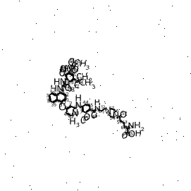 COc1cc(Nc2cc(Oc3ccc(NC(=O)Nc4cc(C(C)(C)C)cc(NS(C)(=O)=O)c4OC)c4ccccc34)ccn2)ccc1C(=O)NCCN1CCN(C(=O)CCC[C@@H](N)C(=O)O)CC1